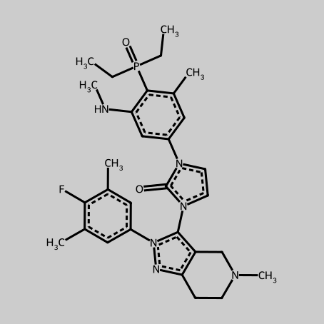 CCP(=O)(CC)c1c(C)cc(-n2ccn(-c3c4c(nn3-c3cc(C)c(F)c(C)c3)CCN(C)C4)c2=O)cc1NC